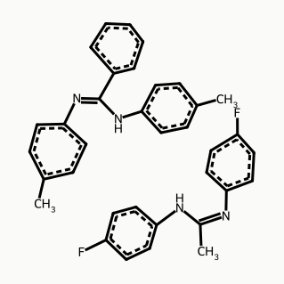 CC(=Nc1ccc(F)cc1)Nc1ccc(F)cc1.Cc1ccc(N=C(Nc2ccc(C)cc2)c2ccccc2)cc1